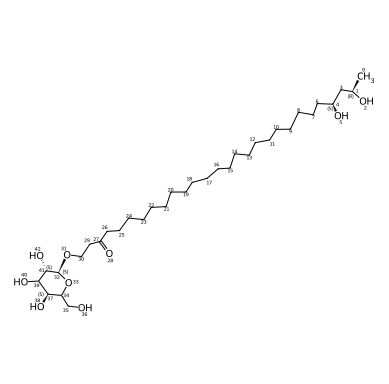 C[C@@H](O)C[C@@H](O)CCCCCCCCCCCCCCCCCCCCCC(=O)CCO[C@H]1OC(CO)[C@@H](O)C(O)[C@@H]1O